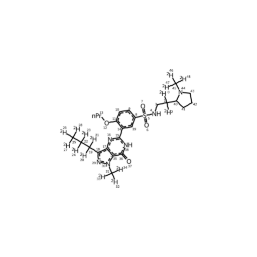 [2H]C([2H])(CNS(=O)(=O)c1ccc(OCCC)c(-c2nc3c(C([2H])([2H])C([2H])([2H])C([2H])([2H])[2H])nn(C([2H])([2H])[2H])c3c(=O)[nH]2)c1)C1CCCN1C([2H])([2H])[2H]